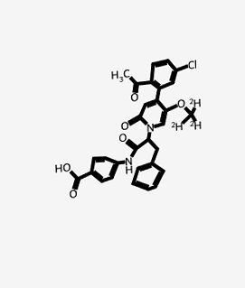 [2H]C([2H])([2H])Oc1cn(C(Cc2ccccc2)C(=O)Nc2ccc(C(=O)O)cc2)c(=O)cc1-c1cc(Cl)ccc1C(C)=O